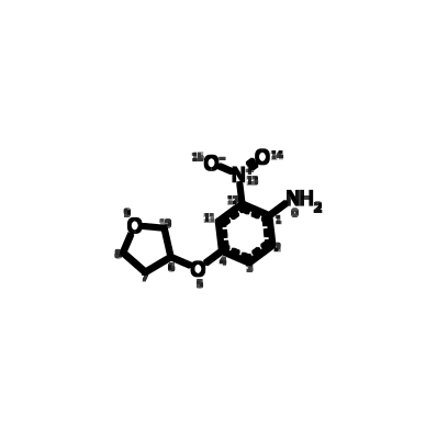 Nc1ccc(OC2CCOC2)cc1[N+](=O)[O-]